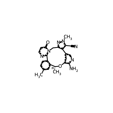 Cc1ccc2c(c1)[C@@H](C)Oc1cc(cnc1N)-c1c(nn(C)c1C#N)Cn1c-2nccc1=O